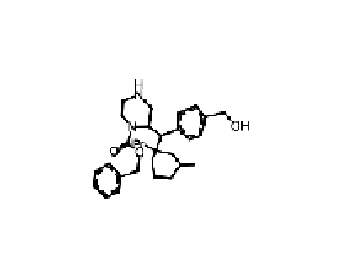 CC1CCCC(C(C)C)(C(c2ccc(CO)cc2)C2CNCCN2C(=O)OCc2ccccc2)C1